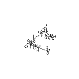 CC[C@@]1(O)C(=O)OCc2c1cc1n(c2=O)Cc2c-1nc1cc(F)cc3c1c2[C@@H](NC(=O)CCCCCNC(=O)CNC(=O)C(Cc1ccccc1)NC(=O)CNC(=O)CNC(=O)CCCCCN1C(=O)C=CC1=O)CC3